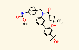 CC(C)(C)OC(=O)NC12CCC(CN(C(=O)C3CC(O)(C(F)(F)F)C3)c3cccc(-c4ccc(C(C)(C)O)cc4)c3)(CC1)CC2